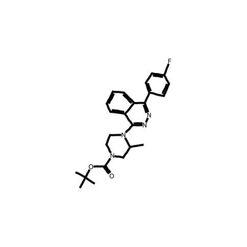 CC1CN(C(=O)OC(C)(C)C)CCN1c1nnc(-c2ccc(F)cc2)c2ccccc12